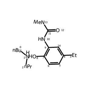 CCCCNCCC.CCc1ccc(O)c(NC(=O)NC)c1